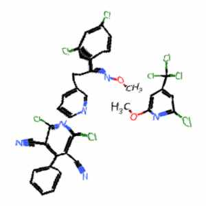 CON=C(Cc1cccnc1)c1ccc(Cl)cc1Cl.COc1cc(C(Cl)(Cl)Cl)cc(Cl)n1.N#Cc1c(Cl)nc(Cl)c(C#N)c1-c1ccccc1